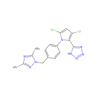 CCCCc1nc(CCC)nn1Cc1ccc(-n2c(Cl)cc(Cl)c2-c2nnn[nH]2)cc1